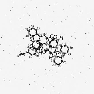 C#Cc1ccc(NC(=O)C(CC(=O)NC(c2ccccc2)(c2ccccc2)c2ccccc2)N(CC2c3ccccc3-c3ccccc32)C(=O)O)cc1